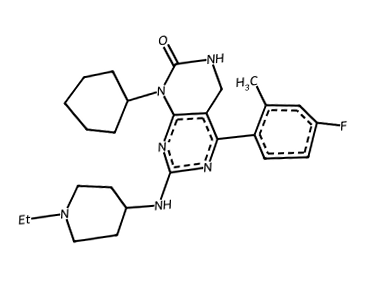 CCN1CCC(Nc2nc(-c3ccc(F)cc3C)c3c(n2)N(C2CCCCC2)C(=O)NC3)CC1